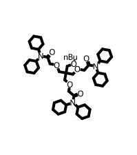 CCCCOCC(COCC(=O)N(C1CCCCC1)C1CCCCC1)(COCC(=O)N(C1CCCCC1)C1CCCCC1)COCC(=O)N(C1CCCCC1)C1CCCCC1